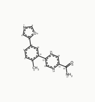 Cc1ccc(-c2cnco2)cc1-c1cnc(C(N)=O)cn1